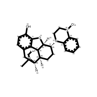 CN1CC[C@]23c4c5ccc(O)c4O[C@H]2[C@H](N2CC[S+]([O-])c4ccccc42)CC[C@H]3[C@H]1C5